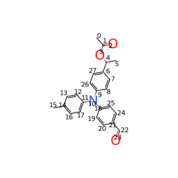 CC(=O)OC(C)c1ccc(N(c2ccc(C)cc2)c2ccc(C=O)cc2)cc1